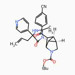 C=CCC1(c2ccncc2)NC(C)N([C@]23C4C(C(=O)c5ccc(C#N)cc5)[C@H]2[C@H]3CN4C(=O)OC(C)(C)C)C1=O